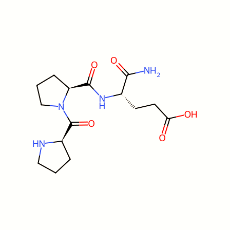 NC(=O)[C@H](CCC(=O)O)NC(=O)[C@@H]1CCCN1C(=O)[C@H]1CCCN1